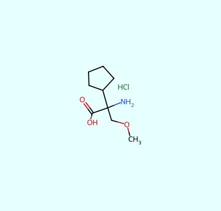 COCC(N)(C(=O)O)C1CCCC1.Cl